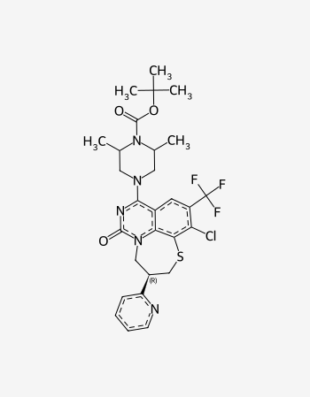 CC1CN(c2nc(=O)n3c4c(c(Cl)c(C(F)(F)F)cc24)SC[C@@H](c2ccccn2)C3)CC(C)N1C(=O)OC(C)(C)C